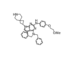 COCCOc1ccc(Nc2nc(N(Cc3ccccc3)Cc3ccccc3)c3ncn(C4CC5(CCNCC5)C4)c3n2)cc1